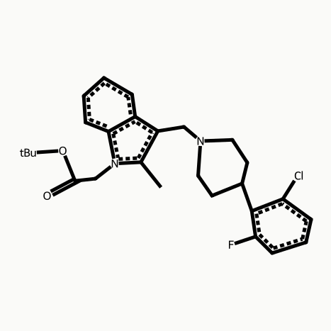 Cc1c(CN2CCC(c3c(F)cccc3Cl)CC2)c2ccccc2n1CC(=O)OC(C)(C)C